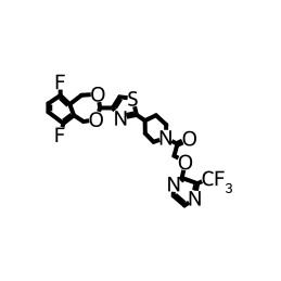 O=C(COc1nccnc1C(F)(F)F)N1CCC(c2nc(C3OCc4c(F)ccc(F)c4CO3)cs2)CC1